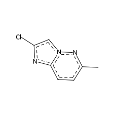 Cc1ccc2nc(Cl)cn2n1